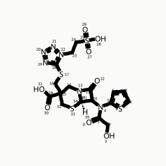 O=C(CO)N(c1cccs1)C1C(=O)N2CC(CSc3nnnn3CCS(=O)(=O)O)(C(=O)O)CS[C@H]12